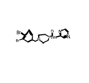 O=C(Nc1cnccn1)N1CCN(Cc2ccc(Br)c(Br)c2)CC1